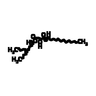 CCCCCCCCCCCCNOC(=O)C(O)CC(=O)ONCCCN(CCCC)CCCC